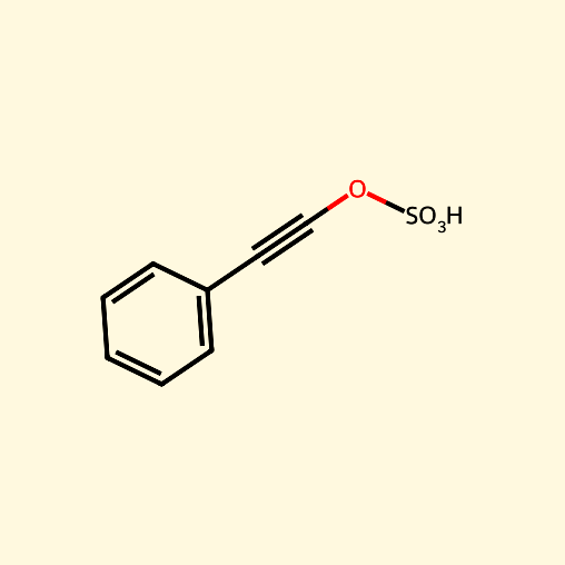 O=S(=O)(O)OC#Cc1ccccc1